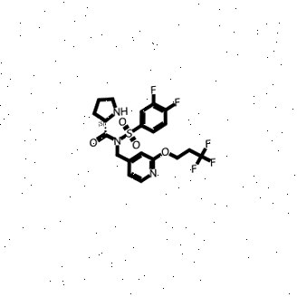 O=C([C@@H]1CCCN1)N(Cc1ccnc(OCCC(F)(F)F)c1)S(=O)(=O)c1ccc(F)c(F)c1